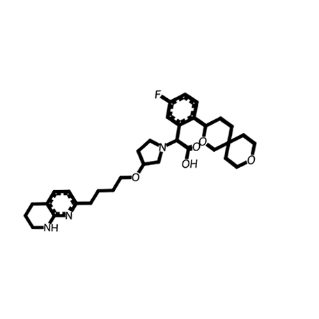 O=C(O)C(c1cc(F)ccc1C1CCC2(CCOCC2)CO1)N1CCC(OCCCCc2ccc3c(n2)NCCC3)C1